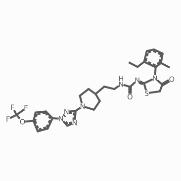 CCc1cccc(C)c1N1C(=O)CSC1=NC(=O)NCCC1CCN(c2ncn(-c3ccc(OC(F)(F)F)cc3)n2)CC1